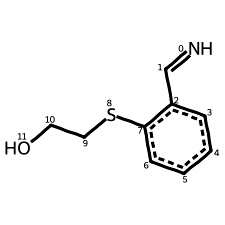 N=Cc1ccccc1SCCO